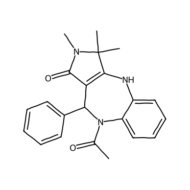 CC(=O)N1c2ccccc2NC2=C(C(=O)N(C)C2(C)C)C1c1ccccc1